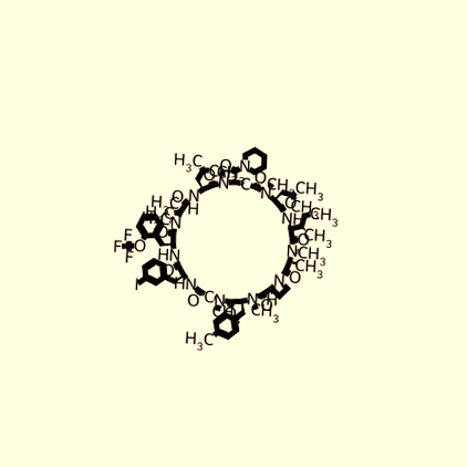 CC[C@H](C)[C@@H]1NC(=O)[C@H](CC(C)C)N(C)C(=O)C[C@@H](C(=O)N2CCCCC2)N(C)C(=O)[C@H](CC(C)C)NC(=O)C(C)(C)N(C)C(=O)[C@H](Cc2ccccc2OC(F)(F)F)NC(=O)[C@H](Cc2cccc(I)c2)NC(=O)CN(C)C(=O)[C@H](Cc2ccc(C)cc2)N(C)C(=O)[C@@H]2CCN2C(=O)[C@H](C)N(C)C1=O